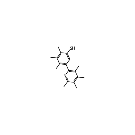 Cc1nc(-c2cc(S)c(C)c(C)c2C)c(C)c(C)c1C